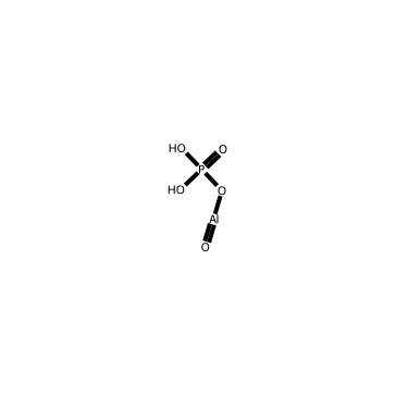 [O]=[Al][O]P(=O)(O)O